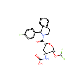 O=C(O)N[C@H]1C[C@H](C(=O)N2CCc3ccccc3[C@@H]2c2ccc(F)cc2)OC[C@H]1OC(F)F